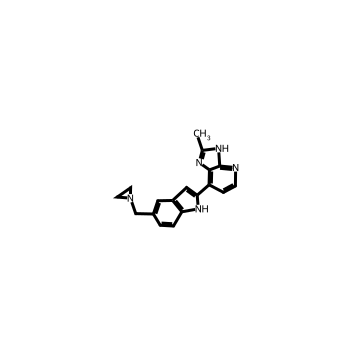 Cc1nc2c(-c3cc4cc(CN5CC5)ccc4[nH]3)ccnc2[nH]1